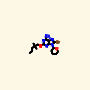 CCCC(C)(C)COc1nc(N)c2nc(Br)n(C3CCCCO3)c2n1